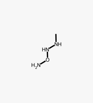 CNNON